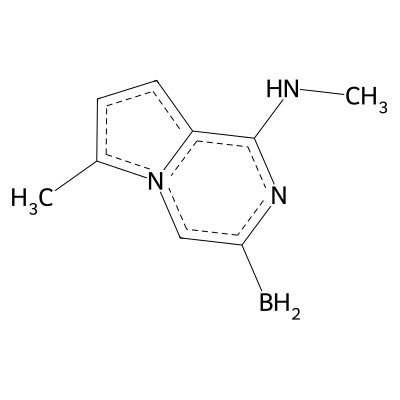 Bc1cn2c(C)ccc2c(NC)n1